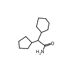 NC(=O)C(C1CCCCC1)C1CCCC1